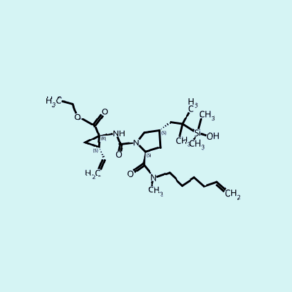 C=CCCCCN(C)C(=O)[C@@H]1C[C@@H](CC(C)(C)[Si](C)(C)O)CN1C(=O)N[C@]1(C(=O)OCC)C[C@H]1C=C